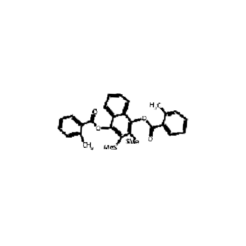 CSc1c(SC)c(OC(=O)c2ccccc2C)c2ccccc2c1OC(=O)c1ccccc1C